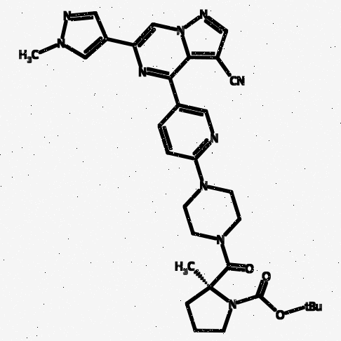 Cn1cc(-c2cn3ncc(C#N)c3c(-c3ccc(N4CCN(C(=O)[C@]5(C)CCCN5C(=O)OC(C)(C)C)CC4)nc3)n2)cn1